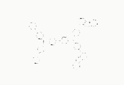 c1ccc(-c2ccc(N(c3ccc(-c4ccccc4)cc3)c3ccc(-c4ccc(N(c5ccc(-c6cccc7c6oc6ccccc67)cc5)c5ccc(-c6cccc7c6oc6ccccc67)cc5)cc4)cc3)cc2)cc1